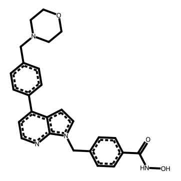 O=C(NO)c1ccc(Cn2ccc3c(-c4ccc(CN5CCOCC5)cc4)ccnc32)cc1